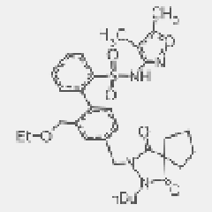 CCCCN1C(=O)C2(CCCC2)C(=O)N1Cc1ccc(-c2ccccc2S(=O)(=O)Nc2noc(C)c2C)c(COCC)c1